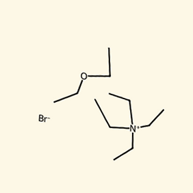 CCOCC.CC[N+](CC)(CC)CC.[Br-]